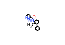 Cc1c(NC(=O)c2cccnn2)cccc1-c1ccccc1